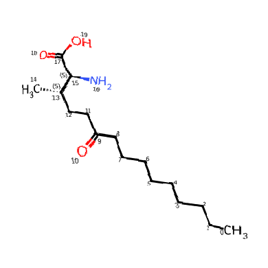 CCCCCCCCCC(=O)CC[C@H](C)[C@H](N)C(=O)O